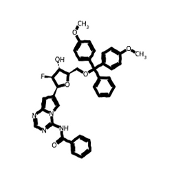 COc1ccc(C(OC[C@H]2O[C@@H](c3cc4ncnc(NC(=O)c5ccccc5)n4c3)[C@@H](F)[C@@H]2O)(c2ccccc2)c2ccc(OC)cc2)cc1